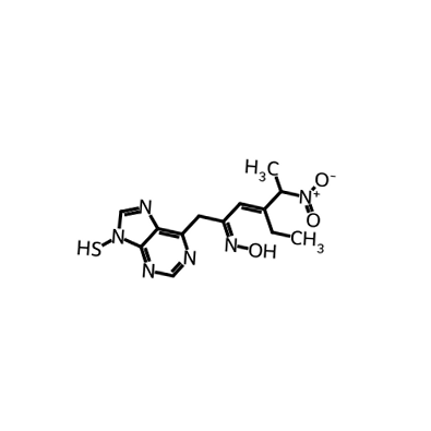 CCC(=CC(Cc1ncnc2c1ncn2S)=NO)C(C)[N+](=O)[O-]